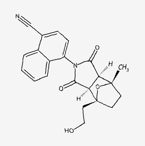 C[C@@]12CC[C@@](CCO)(O1)[C@H]1C(=O)N(c3ccc(C#N)c4ccccc34)C(=O)[C@H]12